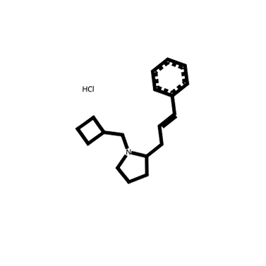 C(=Cc1ccccc1)CC1CCCN1CC1CCC1.Cl